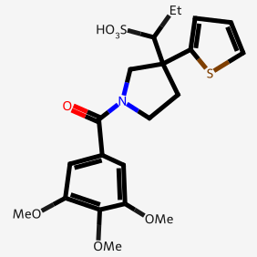 CCC(C1(c2cccs2)CCN(C(=O)c2cc(OC)c(OC)c(OC)c2)C1)S(=O)(=O)O